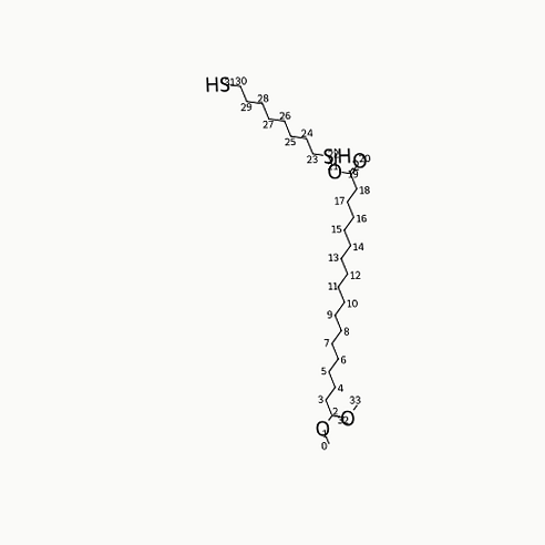 COC(CCCCCCCCCCCCCCCCC(=O)O[SiH2]CCCCCCCCS)OC